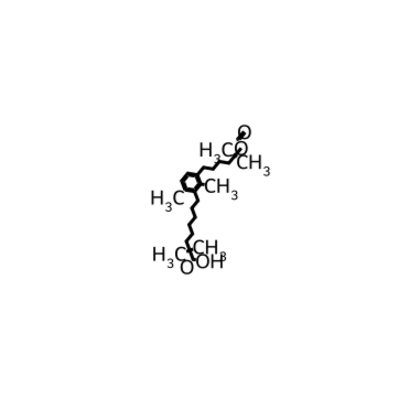 Cc1ccc(CCCCC(C)(C)OC=O)c(C)c1CCCCCCC(C)(C)C(=O)O